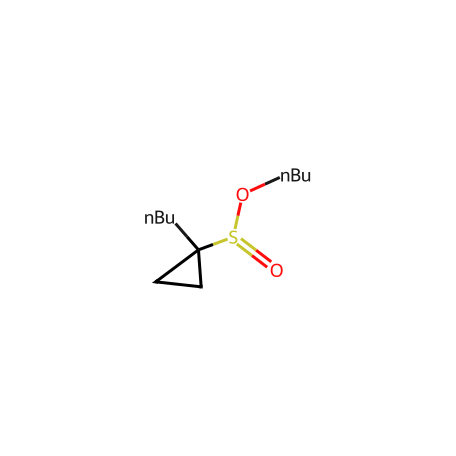 CCCCOS(=O)C1(CCCC)CC1